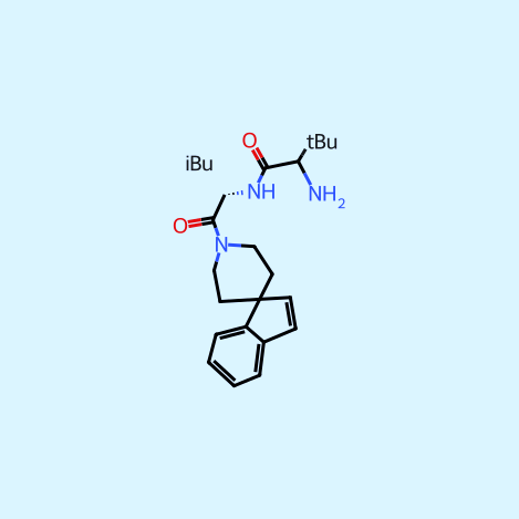 CC[C@H](C)[C@H](NC(=O)C(N)C(C)(C)C)C(=O)N1CCC2(C=Cc3ccccc32)CC1